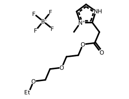 CCOCCOCCOC(=O)Cc1[nH]cc[n+]1C.F[B-](F)(F)F